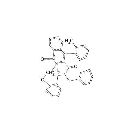 COc1ccccc1CN(Cc1ccccc1)C(=O)c1c(-c2ccccc2C)c2ccccc2c(=O)n1C